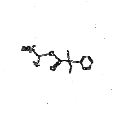 CCOC(=O)C(CC)OC(=O)C(C)(C)c1ccccc1